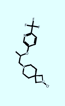 CC(CN1CCC2(CC1)C[S+]([O-])C2)Oc1ccc(C(F)(F)F)nc1